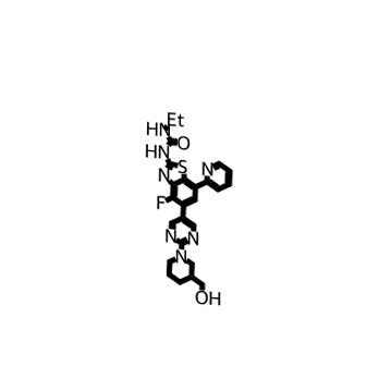 CCNC(=O)Nc1nc2c(F)c(-c3cnc(N4CCCC(CO)C4)nc3)cc(-c3ccccn3)c2s1